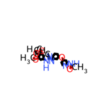 COc1cc(Nc2nc3cc(Oc4ccnc(NC(C)=O)c4)ccc3n2C)cc(OC)c1OC